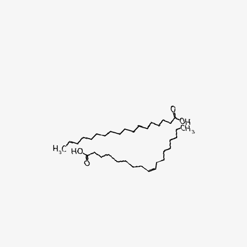 CCCCCCCC/C=C\CCCCCCCC(=O)O.CCCCCCCCCCCCCCCCCC(=O)O